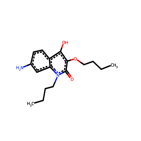 CCCCOc1c(O)c2ccc(N)cc2n(CCCC)c1=O